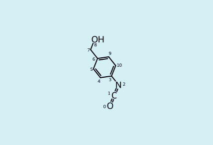 O=C=Nc1ccc(CO)cc1